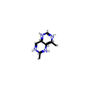 Cc1ncc2ncnc(C)c2n1